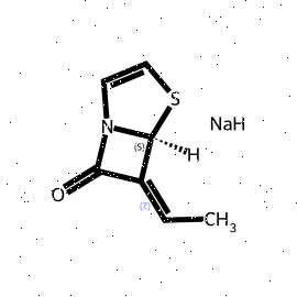 C/C=C1/C(=O)N2C=CS[C@@H]12.[NaH]